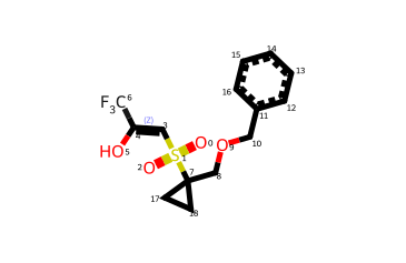 O=S(=O)(/C=C(\O)C(F)(F)F)C1(COCc2ccccc2)CC1